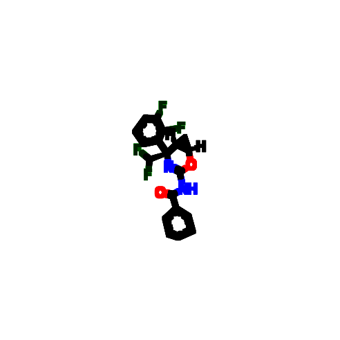 O=C(NC1=N[C@@](c2cccc(F)c2F)(C(F)F)[C@H]2C[C@H]2O1)c1ccccc1